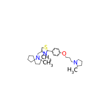 CC1CCCN1CCCOc1ccc(-c2nc(CN3C(C)(C)CCC34CCCC4)cs2)cc1